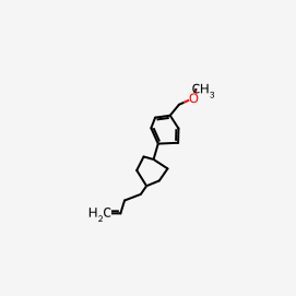 C=CCCC1CCC(c2ccc(COC)cc2)CC1